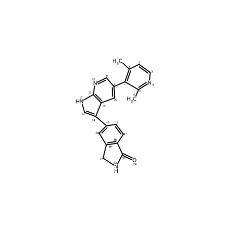 Cc1ccnc(C)c1-c1cnc2[nH]cc(-c3ccc4c(c3)CNC4=O)c2c1